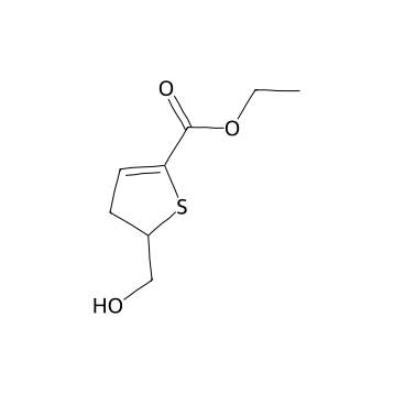 CCOC(=O)C1=CCC(CO)S1